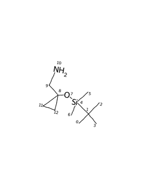 CC(C)(C)[Si](C)(C)OC1(CN)CC1